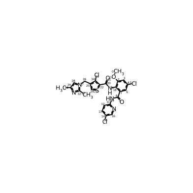 COc1cc(Cl)cc(C(=O)Nc2ccc(Cl)cn2)c1NC(=O)c1scc(Cn2cc(C)nc2C)c1Cl